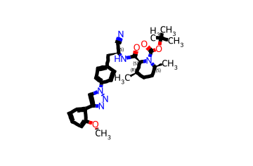 COc1ccccc1-c1cn(-c2ccc(C[C@@H](C#N)NC(=O)[C@@H]3[C@H](C)CC[C@H](C)N3C(=O)OC(C)(C)C)cc2)nn1